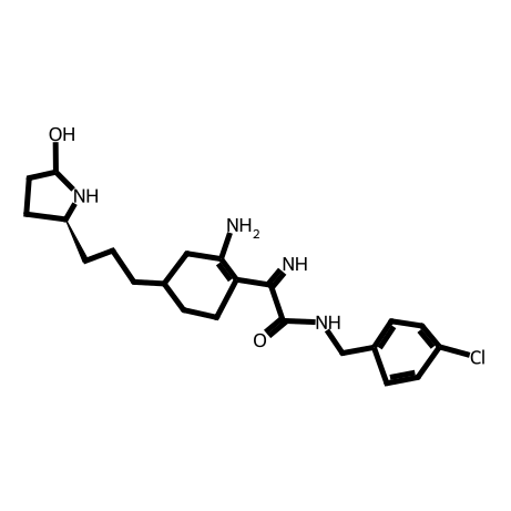 N=C(C(=O)NCc1ccc(Cl)cc1)C1=C(N)CC(CCC[C@H]2CCC(O)N2)CC1